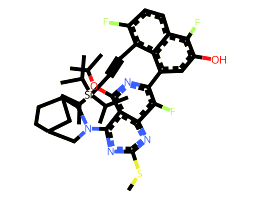 CSc1nc(N2CC3CCC(C3)C2)c2c(OC(C)C)nc(-c3cc(O)c(F)c4ccc(F)c(C#C[Si](C(C)C)(C(C)C)C(C)C)c34)c(F)c2n1